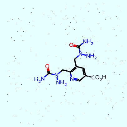 NC(=O)N(N)Cc1cc(C(=O)O)cnc1CN(N)C(N)=O